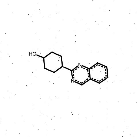 OC1CCC(c2ncc3ccccc3n2)CC1